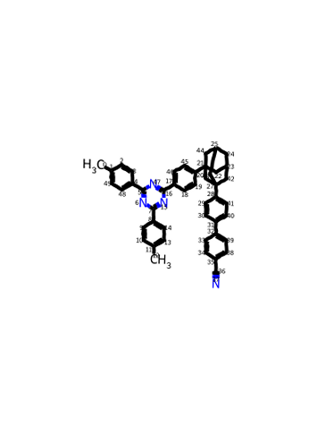 Cc1ccc(-c2nc(-c3ccc(C)cc3)nc(-c3ccc(C45CC6CC(CC(c7ccc(-c8ccc(C#N)cc8)cc7)(C6)C4)C5)cc3)n2)cc1